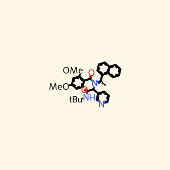 COc1ccc(C(=O)N(C(C(=O)NC(C)(C)C)c2cccnc2)[C@H](C)c2cccc3ccccc23)c(OC)c1